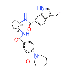 O=C(N[C@H]1CCC[C@H]1NC(=O)c1ccc2c(CI)c[nH]c2c1)c1ccc(N2CCCCCC2=O)cc1